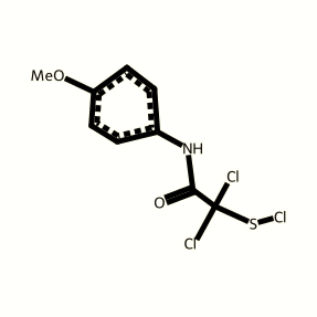 COc1ccc(NC(=O)C(Cl)(Cl)SCl)cc1